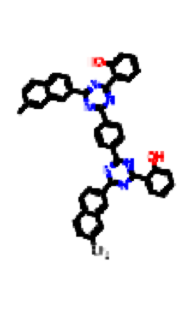 Cc1ccc2ccc(-c3nc(-c4ccc(-c5nc(-c6ccc7ccc(C(F)(F)F)cc7c6)nc(-c6ccccc6O)n5)cc4)nc(-c4ccccc4O)n3)cc2c1